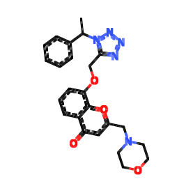 CC(c1ccccc1)n1nnnc1COc1cccc2c(=O)cc(CN3CCOCC3)oc12